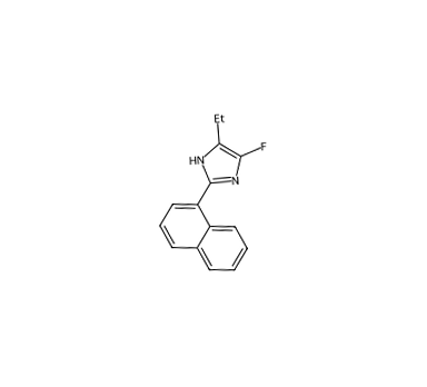 CCc1[nH]c(-c2cccc3ccccc23)nc1F